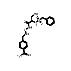 N=C(N)c1ccc(CNPNC(=O)[C@@H](CO)NS(=O)(=O)Cc2ccccc2)cc1